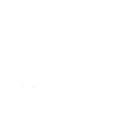 CN1CCN(c2ccc(-c3cccc(-c4cc(-c5ccccc5)nc(N5CCNCC5)c4)c3O)cc2Cl)C1=O